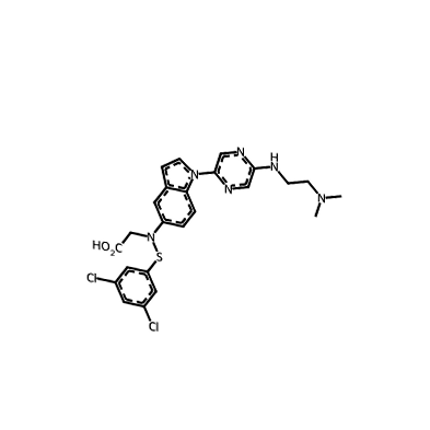 CN(C)CCNc1cnc(-n2ccc3cc(N(CC(=O)O)Sc4cc(Cl)cc(Cl)c4)ccc32)cn1